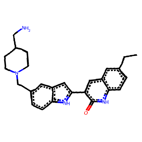 CCc1ccc2[nH]c(=O)c(-c3cc4cc(CN5CCC(CN)CC5)ccc4[nH]3)cc2c1